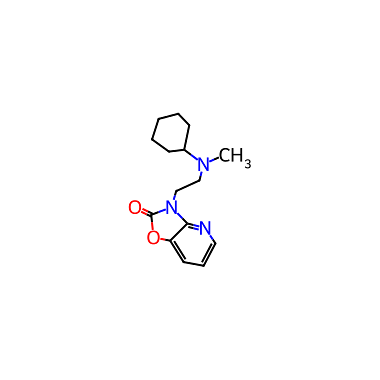 CN(CCn1c(=O)oc2cccnc21)C1CCCCC1